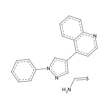 NC=S.c1ccc(-n2cc(-c3ccnc4ccccc34)cn2)cc1